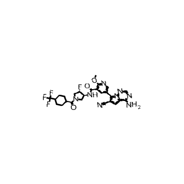 COc1ncc(-c2c(C#N)cc3c(N)ncnn23)cc1C(=O)N[C@H]1CN(C(=O)C2CCC(C(F)(F)F)CC2)C[C@@H]1F